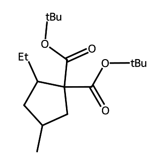 CCC1CC(C)CC1(C(=O)OC(C)(C)C)C(=O)OC(C)(C)C